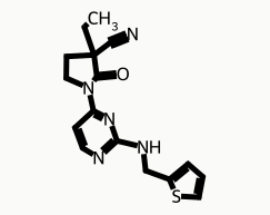 CCC1(C#N)CCN(c2ccnc(NCc3cccs3)n2)C1=O